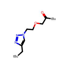 CC(C)(C)Cc1cn(CCOCC(=O)C(C)(C)C)nn1